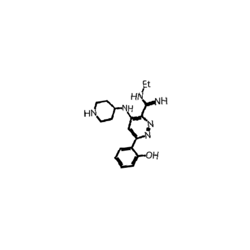 CCNC(=N)c1nnc(-c2ccccc2O)cc1NC1CCNCC1